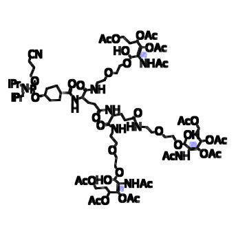 CC(=O)N/C(=C(\OC(C)=O)C(CCOC(C)=O)OC(C)=O)C(O)OCCOCCNC(=O)CCC(NC(=O)CCC(NC(=O)[C@H]1CC[C@@H](OP(OCCCC#N)N(C(C)C)C(C)C)CC1)C(=O)NCCOCCOC(O)/C(NC(C)=O)=C(/OC(C)=O)C(CCOC(C)=O)OC(C)=O)C(=O)NCCOCCOC(O)/C(NC(C)=O)=C(/OC(C)=O)C(CCOC(C)=O)OC(C)=O